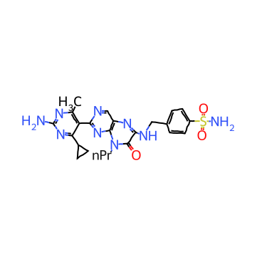 CCCn1c(=O)c(NCc2ccc(S(N)(=O)=O)cc2)nc2cnc(-c3c(C)nc(N)nc3C3CC3)nc21